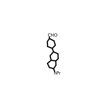 CCCC1CCC2CC(C3CCC(C=O)CC3)CCC2C1